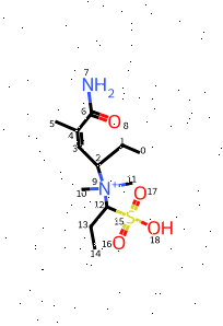 CCC(C=C(C)C(N)=O)[N+](C)(C)C(CC)S(=O)(=O)O